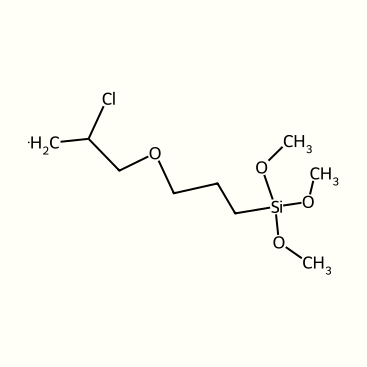 [CH2]C(Cl)COCCC[Si](OC)(OC)OC